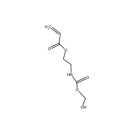 C=CC(=O)OCCNC(=O)OCO